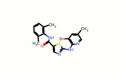 Cc1cnc(Nc2ncc(C(=O)Nc3c(C)cccc3C)s2)c(Br)c1